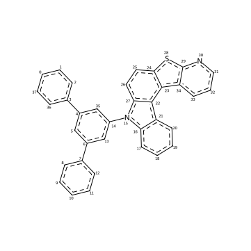 c1ccc(-c2cc(-c3ccccc3)cc(-n3c4ccccc4c4c5c(ccc43)sc3ncccc35)c2)cc1